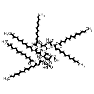 CCCCCCCCCCCC(=O)O[C@H](CCCCCCCCCCC)CC(=O)N[C@H]1[C@H](OC[C@H](NC(=O)C[C@@H](CCCCCCCCCCC)OC(=O)CCCCCCCCCCC)C(=O)O)O[C@H](CO)[C@@H](OP(=O)(O)O)[C@@H]1OC(=O)C[C@@H](CCCCCCCCCCC)OC(=O)CCCCCCCCCCC